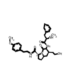 CNC(Cc1ccccc1)C(=O)NC1C(=O)N2C(CC[C@H]2C(=O)NCCc2ccc(OC)cc2)CC1CCO